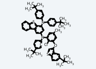 Cc1cc(Oc2csc3ccc(C(C)(C)C)cc23)c(Cl)c(N(c2ccc(C(C)(C)C)cc2)c2cc(N(c3ccc(C(C)(C)C)cc3)c3ccc(C(C)(C)C)cc3)c3sc4ccccc4c3c2)c1